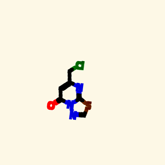 O=c1cc(CCl)nc2scnn12